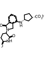 O=C1CCC(N2Cc3c(N[C@@H]4CC[C@H](C(=O)O)C4)cccc3C2=O)C(=O)N1